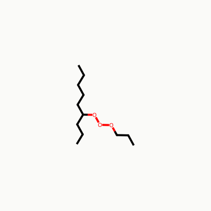 CCCCCC(CCC)OOOCCC